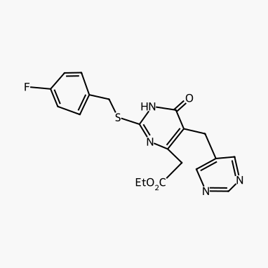 CCOC(=O)Cc1nc(SCc2ccc(F)cc2)[nH]c(=O)c1Cc1cncnc1